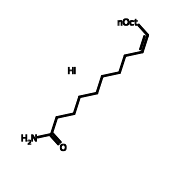 CCCCCCCC/C=C\CCCCCCCC(N)=O.I